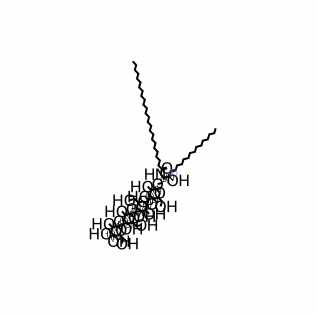 CCCCCCCCCCCCC/C=C/[C@@H](O)[C@H](CO[C@@H]1OC(CO)[C@@H](O[C@@H]2OC(CO)[C@H](O[C@@H]3OC(CO)[C@H](O)[C@H](O[C@H]4OC(CO)[C@H](O)[C@H](O)C4O)C3O)[C@H](O)C2O)[C@H](O)C1O)NC(=O)CCCCCCCCCCCCCCCCCCCCCCCCC